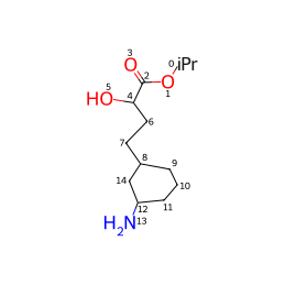 CC(C)OC(=O)C(O)CCC1CCCC(N)C1